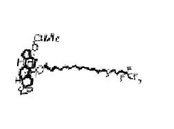 COCO[C@H]1CC[C@H]2[C@@H]3CC[C@H]4CC5(CC[C@]4(C)[C@H]3[C@@H](OCC=CCCCCCCCCCCSCCCC(F)(F)C(F)(F)F)C[C@]12C)OCCO5